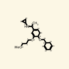 COCCCOC1=CC(C(C)NC2CC2)=CCC1OCC1C=CC=CC1